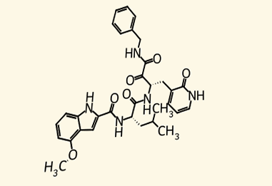 COc1cccc2[nH]c(C(=O)N[C@@H](CC(C)C)C(=O)N[C@@H](Cc3ccc[nH]c3=O)C(=O)C(=O)NCc3ccccc3)cc12